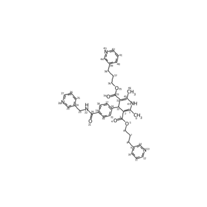 CC1=C(C(=O)OCCCc2cccnc2)C(c2ccc(C(=O)NCc3cccnc3)cc2)C(C(=O)OCCCc2cccnc2)=C(C)N1